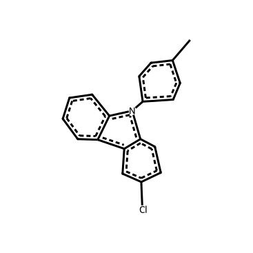 Cc1ccc(-n2c3ccccc3c3cc(Cl)ccc32)cc1